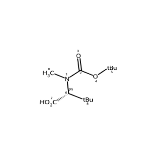 CN(C(=O)OC(C)(C)C)[C@@H](C(=O)O)C(C)(C)C